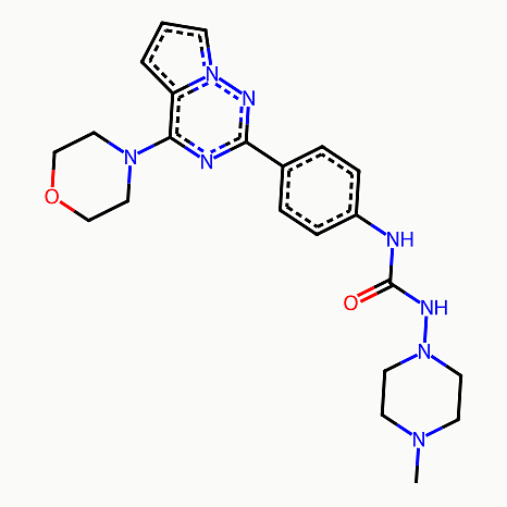 CN1CCN(NC(=O)Nc2ccc(-c3nc(N4CCOCC4)c4cccn4n3)cc2)CC1